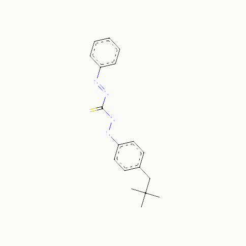 CC(C)(C)Cc1ccc(NNC(=S)/N=N/c2ccccc2)cc1